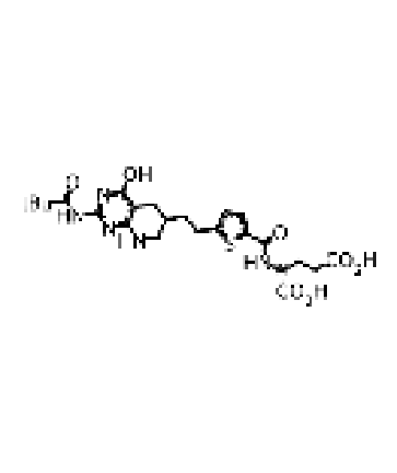 CC(C)(C)C(=O)Nc1nc(O)c2c(n1)NCC(CCc1ccc(C(=O)N[C@H](CCC(=O)O)C(=O)O)s1)C2